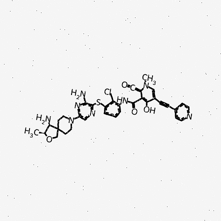 C[C@@H]1OCC2(CCN(c3cnc(Sc4cccc(NC(=O)C5=C(O)C(C#Cc6ccncc6)=CN(C)C5=C=O)c4Cl)c(N)n3)CC2)[C@@H]1N